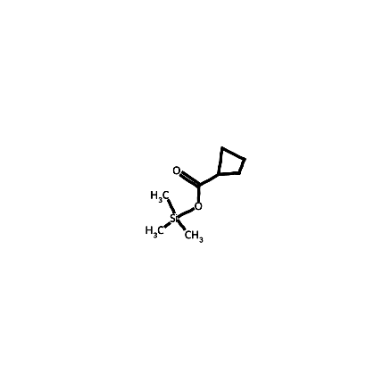 C[Si](C)(C)OC(=O)C1CCC1